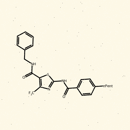 CCCCCc1ccc(C(=O)Nc2nc(C(F)(F)F)c(C(=O)NCc3ccccc3)s2)cc1